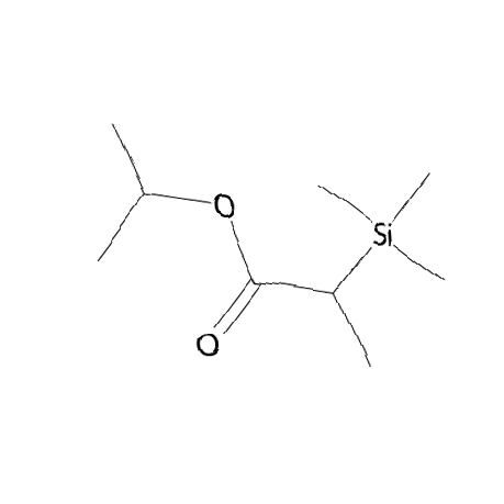 CC(C)OC(=O)C(C)[Si](C)(C)C